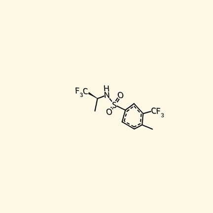 Cc1ccc(S(=O)(=O)N[C@@H](C)C(F)(F)F)cc1C(F)(F)F